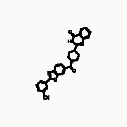 N#Cc1cccc(-c2nc3ccc(C(=O)N4CCC(c5nc6ccccc6c(=O)[nH]5)CC4)cc3o2)c1